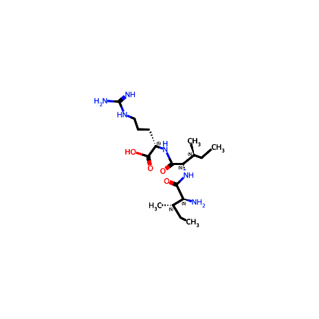 CC[C@H](C)[C@H](N)C(=O)N[C@H](C(=O)N[C@@H](CCCNC(=N)N)C(=O)O)[C@@H](C)CC